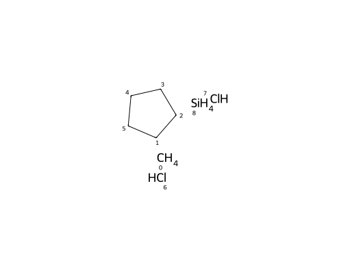 C.C1CCCC1.Cl.Cl.[SiH4]